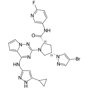 O=C(Nc1ccc(F)nc1)[C@@H]1C[C@H](n2cc(Br)cn2)CN1c1nc(Nc2cc(C3CC3)[nH]n2)c2cccn2n1